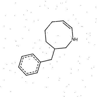 C1=CNCC(Cc2ccccc2)CCC1